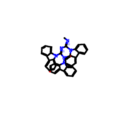 C/N=C(\N=C(/N(C)n1c2ccccc2c2ccccc21)n1c2ccccc2c2ccccc21)n1c2ccccc2c2ccccc21